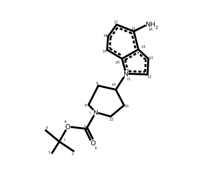 CC(C)(C)OC(=O)N1CCC(n2ccc3c(N)cccc32)CC1